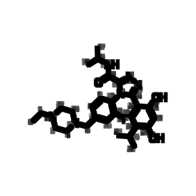 CCN1CCN(Cc2ccc(-n3c(C(=O)NC(C)C)nnc3-c3cc(C(C)C)c(O)cc3O)c(F)c2)CC1